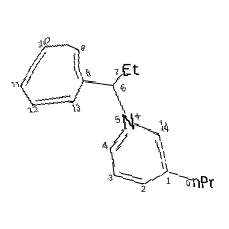 CCCc1ccc[n+](C(CC)c2ccccc2)c1